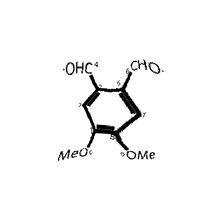 COc1cc([C]=O)c([C]=O)cc1OC